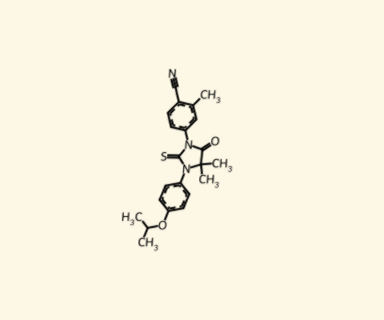 Cc1cc(N2C(=O)C(C)(C)N(c3ccc(OC(C)C)cc3)C2=S)ccc1C#N